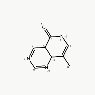 CC1=CNC(=O)C2C=NC=NC12